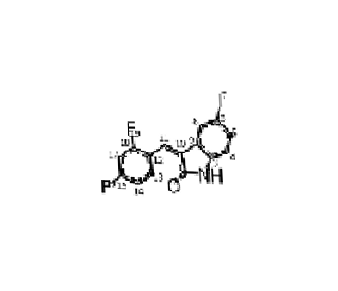 O=C1Nc2ccc(I)cc2C1=Cc1ccc(F)cc1F